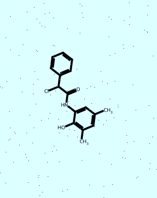 Cc1cc(C)c(O)c(NC(=O)C(Cl)c2ccccc2)c1